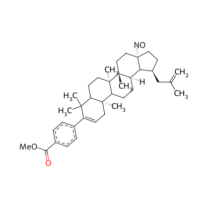 C=C(C)C[C@@H]1CC[C@]2(N=O)CC[C@]3(C)[C@H](CCC4[C@@]5(C)CC=C(c6ccc(C(=O)OC)cc6)C(C)(C)C5CC[C@]43C)C12